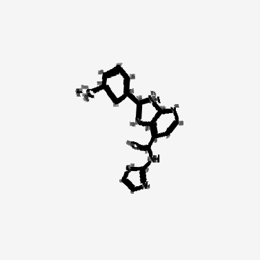 O=C(Nc1nccs1)c1ccnc2[nH]c(-c3cccc(C(F)(F)F)c3)nc12